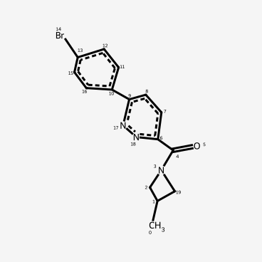 CC1CN(C(=O)c2ccc(-c3ccc(Br)cc3)nn2)C1